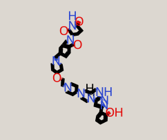 O=C1CCC(N2Cc3cc(CN4CCC(OCCN5CCC(N6CCN7c8cc(-c9ccccc9O)nnc8NC[C@H]7C6)CC5)CC4)ccc3C2=O)C(=O)N1